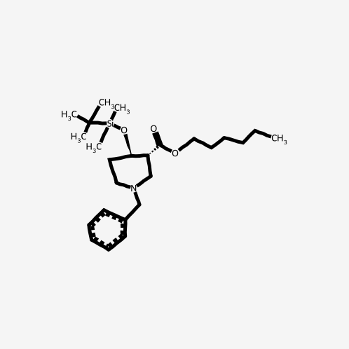 CCCCCCOC(=O)[C@@H]1CN(Cc2ccccc2)CC[C@H]1O[Si](C)(C)C(C)(C)C